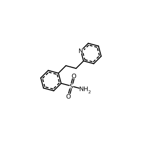 NS(=O)(=O)c1ccccc1CCc1ccccn1